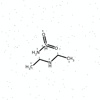 CCNCC.N[SH](=O)=O